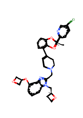 C[C@]1(c2ccc(Cl)cn2)Oc2cccc(C3CCN(Cc4nc5c(OC6COC6)cccc5n4C[C@@H]4CCO4)CC3)c2O1